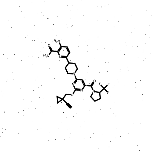 C#CC1(COc2nc(C(=O)N3CCCC3C(F)(F)F)cc(N3CCC(c4ccc(N)c(C(N)=O)n4)CC3)n2)CC1